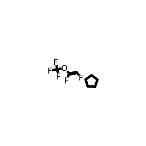 C1CCCC1.FC=C(F)OC(F)(F)F